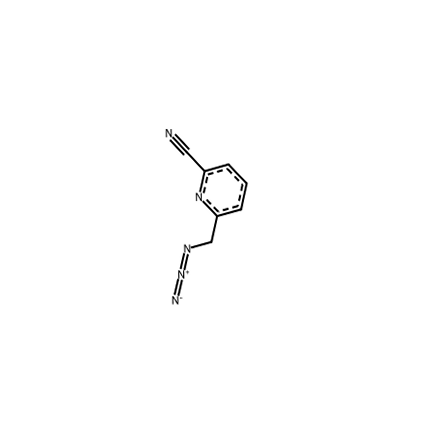 N#Cc1cccc(CN=[N+]=[N-])n1